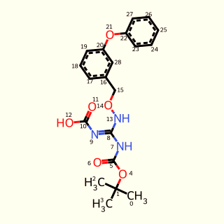 CC(C)(C)OC(=O)NC(=NC(=O)O)NOCc1cccc(Oc2ccccc2)c1